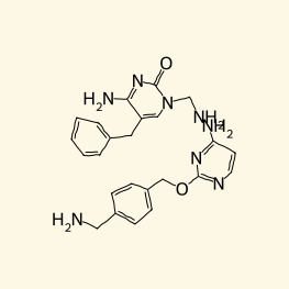 NCc1ccc(COc2nccc(N)n2)cc1.NCn1cc(Cc2ccccc2)c(N)nc1=O